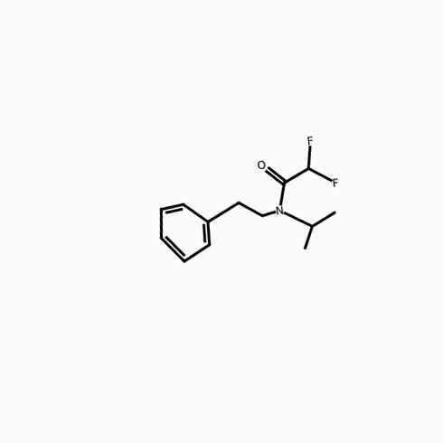 CC(C)N(CCc1ccccc1)C(=O)C(F)F